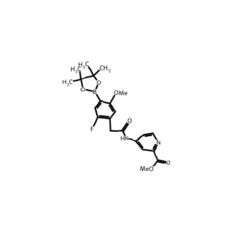 COC(=O)c1cc(NC(=O)Cc2cc(OC)c(B3OC(C)(C)C(C)(C)O3)cc2F)ccn1